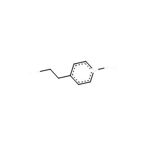 CCCCCCCCCCc1cc[n+](CCCCC)cc1